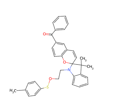 Cc1ccc(SOCCN2c3ccccc3C(C)(C)C23C=Cc2cc(C(=O)c4ccccc4)ccc2O3)cc1